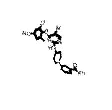 Cc1cc(C#N)cc(Cl)c1Oc1nc(NC2CCN(c3cccc(C(N)=O)c3)CC2)ncc1Br